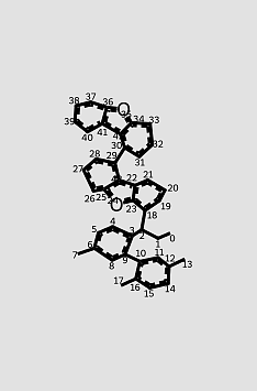 CCC(c1ccc(C)cc1-c1cc(C)ccc1C)c1cccc2c1oc1cccc(-c3cccc4oc5ccccc5c34)c12